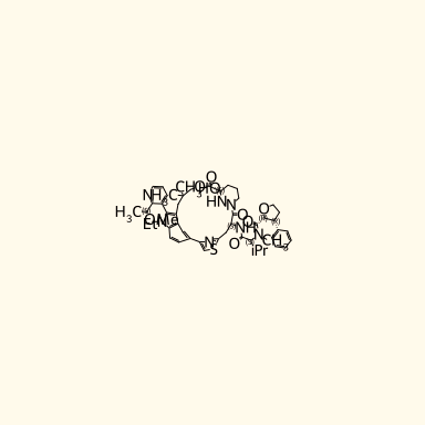 CCn1c(-c2cccnc2[C@H](C)OC)c2c3cc(ccc31)-c1csc(n1)C[C@H](NC(=O)[C@H](C(C)C)N(C)C(=O)[C@@H]1OCC[C@@H]1c1ccccc1)C(=O)N1CCC[C@@](O)(N1)C(=O)OCC(C)(C)C2